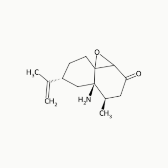 C=C(C)[C@@H]1CCC23OC2C(=O)C[C@@H](C)[C@]3(N)C1